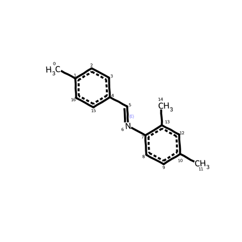 Cc1ccc(/C=N/c2ccc(C)cc2C)cc1